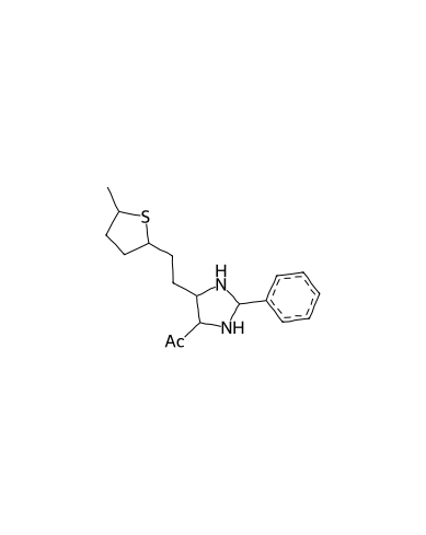 CC(=O)C1NC(c2ccccc2)NC1CCC1CCC(C)S1